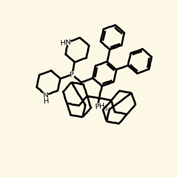 PC(c1cc(-c2ccccc2)c(-c2ccccc2)cc1CP(C1CCCNC1)C1CCCNC1)(C12CC3CC(CC(C3)C1)C2)C12CC3CC(CC(C3)C1)C2